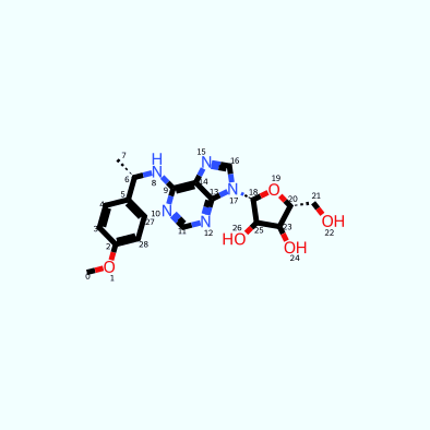 COc1ccc([C@H](C)Nc2ncnc3c2ncn3[C@@H]2O[C@H](CO)C(O)C2O)cc1